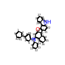 c1ccc(-c2ccc(N(c3ccccc3)c3cc4oc5c(ccc6[nH]c7ccccc7c65)c4c4ccccc34)cc2)cc1